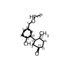 Cc1ccc(COPI)cc1C1CC(=O)CCC1C